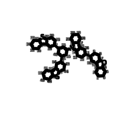 c1ccc2c(c1)oc1ccc(-c3ccc4c(c3)c3ccccc3n4-c3cc(-c4ccc5sc6ccccc6c5c4)cc(-c4ccc5sc6ccccc6c5c4)c3)cc12